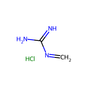 C=NC(=N)N.Cl